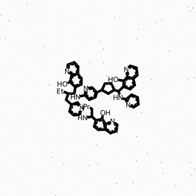 CCC(Cc1ccc(NC(CC(C)C)c2ccc3cccnc3c2O)nc1)C(Nc1ccc(C2CCC(C(Nc3ccccn3)c3ccc4cccnc4c3O)C2)cn1)c1ccc2cccnc2c1O